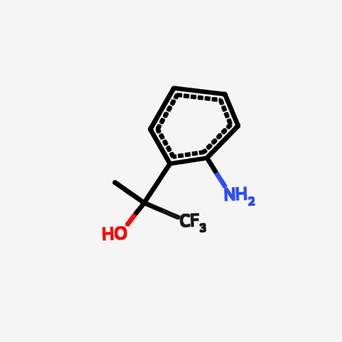 CC(O)(c1ccccc1N)C(F)(F)F